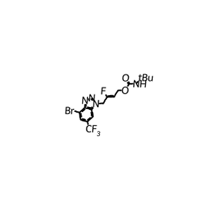 CC(C)(C)NC(=O)OC/C=C(\F)Cn1nnc2c(Br)cc(C(F)(F)F)cc21